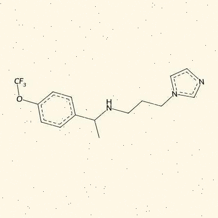 CC(NCCCn1ccnc1)c1ccc(OC(F)(F)F)cc1